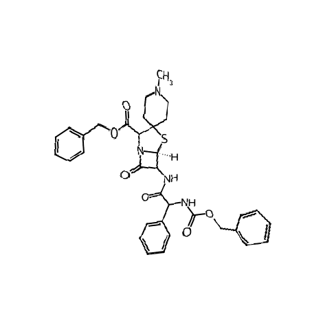 CN1CCC2(CC1)S[C@H]1C(NC(=O)C(NC(=O)OCc3ccccc3)c3ccccc3)C(=O)N1C2C(=O)OCc1ccccc1